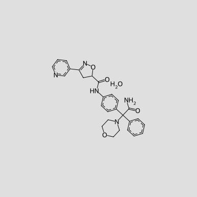 NC(=O)C(c1ccccc1)(c1ccc(NC(=O)C2CC(c3cccnc3)=NO2)cc1)N1CCOCC1.O